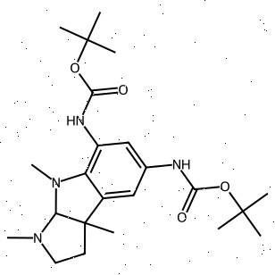 CN1CCC2(C)c3cc(NC(=O)OC(C)(C)C)cc(NC(=O)OC(C)(C)C)c3N(C)C12